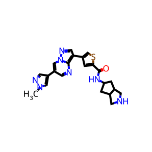 Cn1cc(-c2cnc3c(-c4csc(C(=O)NC5CC6CNCC6C5)c4)cnn3c2)cn1